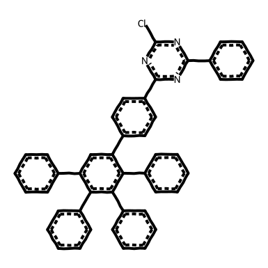 Clc1nc(-c2ccccc2)nc(-c2ccc(-c3cc(-c4ccccc4)c(-c4ccccc4)c(-c4ccccc4)c3-c3ccccc3)cc2)n1